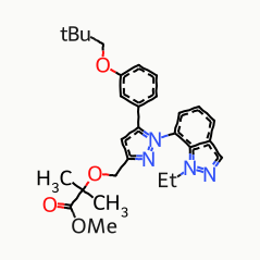 CCn1ncc2cccc(-n3nc(COC(C)(C)C(=O)OC)cc3-c3cccc(OCC(C)(C)C)c3)c21